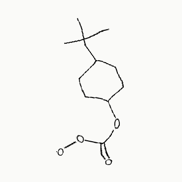 CC(C)(C)C1CCC(OC(=O)O[O])CC1